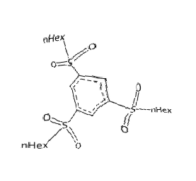 CCCCCCS(=O)(=O)c1cc(S(=O)(=O)CCCCCC)cc(S(=O)(=O)CCCCCC)c1